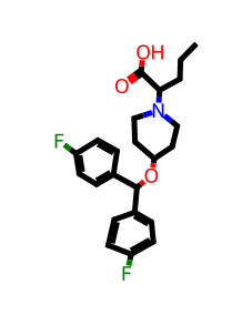 CCCC(C(=O)O)N1CCC(OC(c2ccc(F)cc2)c2ccc(F)cc2)CC1